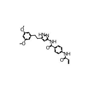 C=CC(=O)Nc1ccc(C(=O)Nc2cc(CCc3cc(OC)cc(OC)c3)[nH]n2)cc1